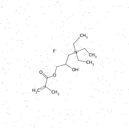 C=C(C)C(=O)OCC(O)C[N+](CC)(CC)CC.[F-]